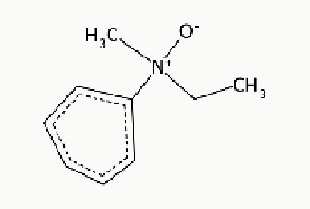 CC[N+](C)([O-])c1ccccc1